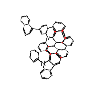 c1ccc(-c2ccc(-c3cccc4ccccc34)cc2N(c2cccc(-c3cccc4c5ccccc5n(-c5ccccc5)c34)c2)c2ccccc2-c2cccc3cccc(-c4ccccc4)c23)cc1